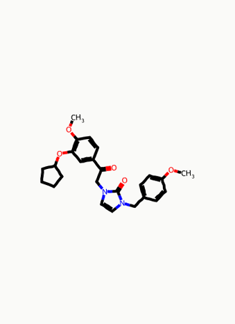 COc1ccc(Cn2ccn(CC(=O)c3ccc(OC)c(OC4CCCC4)c3)c2=O)cc1